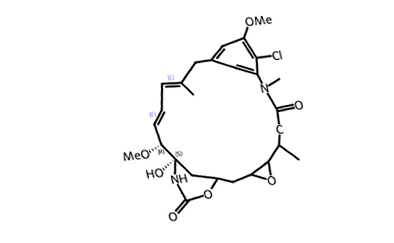 COc1cc2cc(c1Cl)N(C)C(=O)CC(C)C1OC1CC1C[C@@](O)(NC(=O)O1)[C@H](OC)/C=C/C=C(\C)C2